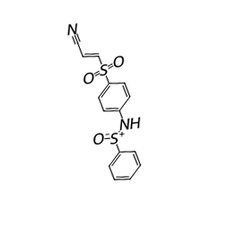 N#CC=CS(=O)(=O)c1ccc(N[S+]([O-])c2ccccc2)cc1